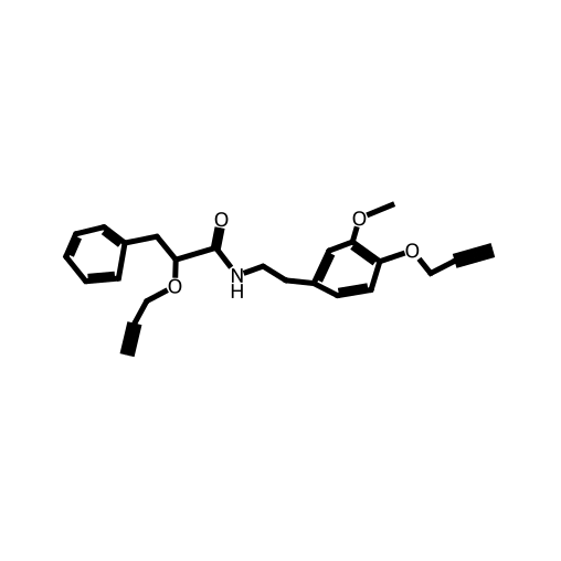 C#CCOc1ccc(CCNC(=O)C(Cc2ccccc2)OCC#C)cc1OC